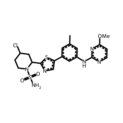 COc1ccnc(Nc2cc(C)cc(-c3cnc(C4CC(Cl)CCN4S(N)(=O)=O)s3)c2)n1